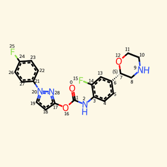 O=C(Nc1ccc([C@H]2CNCCO2)cc1F)Oc1ccn(-c2ccc(F)cc2)n1